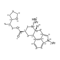 Br.CCCN1C[C@H](C(=O)OCC(C)C2CCCO2)CC2c3cccc4c3c(cn4C(C)C)C[C@H]21